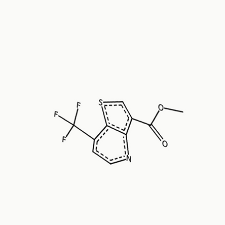 COC(=O)c1csc2c(C(F)(F)F)ccnc12